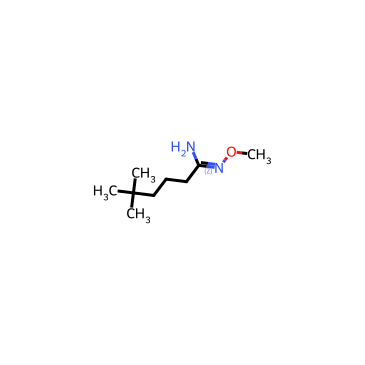 CO/N=C(\N)CCCC(C)(C)C